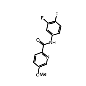 COc1ccc(C(=O)Nc2ccc(F)c(F)c2)nc1